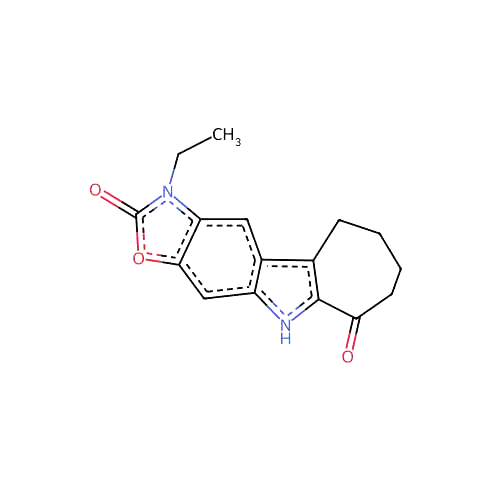 CCn1c(=O)oc2cc3[nH]c4c(c3cc21)CCCCC4=O